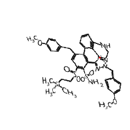 COc1ccc(Cc2cc(S(=O)(=O)CC[Si](C)(C)C)c(S(N)(=O)=O)c(-c3nnn(Cc4ccc(OC)cc4)n3)c2-c2cccc3c2CCCN3)cc1